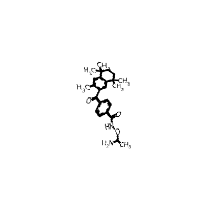 Cc1cc2c(cc1C(=O)c1ccc(C(=O)NOC(C)N)cc1)C(C)(C)CCC2(C)C